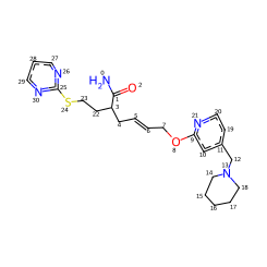 NC(=O)C(CC=CCOc1cc(CN2CCCCC2)ccn1)CCSc1ncccn1